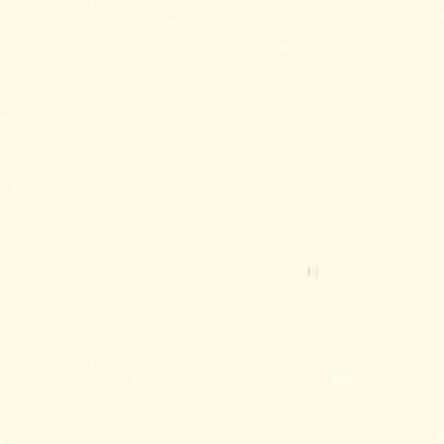 C=C(CC(=C)c1ccc(Cl)cc1)c1ccccc1